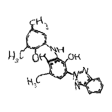 Cc1cc(C)c(O)c(Nc2cc(C)cc(-n3nc4ccccc4n3)c2O)c1